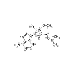 CO[C@H]1[C@@H](O)[C@H](n2cnc3c(N)ncnc32)O[C@@H]1COC(C)C